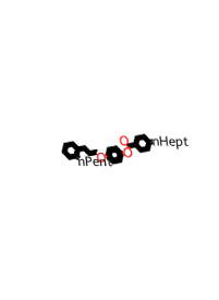 CCCCCCCC1CCC(C(=O)Oc2ccc(OCCCC3CCCCC3CCCCC)cc2)CC1